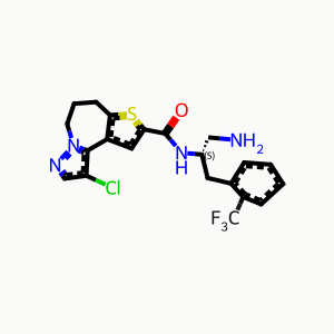 NC[C@H](Cc1ccccc1C(F)(F)F)NC(=O)c1cc2c(s1)CCCn1ncc(Cl)c1-2